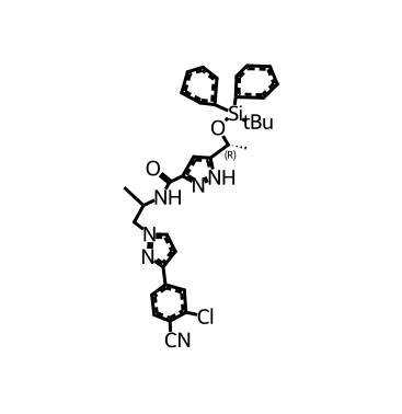 CC(Cn1ccc(-c2ccc(C#N)c(Cl)c2)n1)NC(=O)c1cc([C@@H](C)O[Si](c2ccccc2)(c2ccccc2)C(C)(C)C)[nH]n1